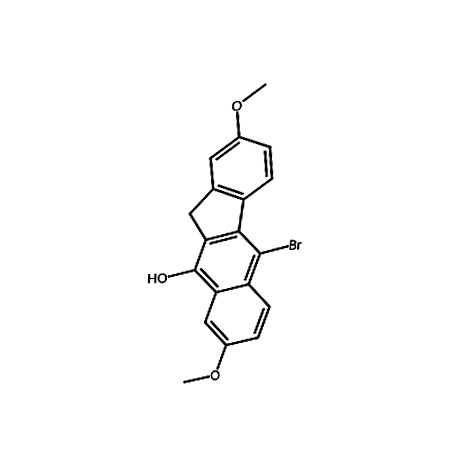 COc1ccc2c(c1)Cc1c-2c(Br)c2ccc(OC)cc2c1O